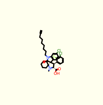 C#CCCCCCCCN1C(=O)[C@@]2(c3ccc(Cl)cc31)[C@@H](c1cccc(Cl)c1F)[C@H](C(=O)O)N(C)C21CCCCC1